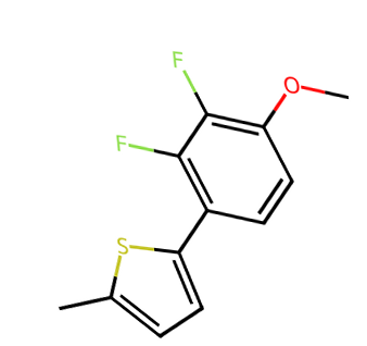 COc1ccc(-c2ccc(C)s2)c(F)c1F